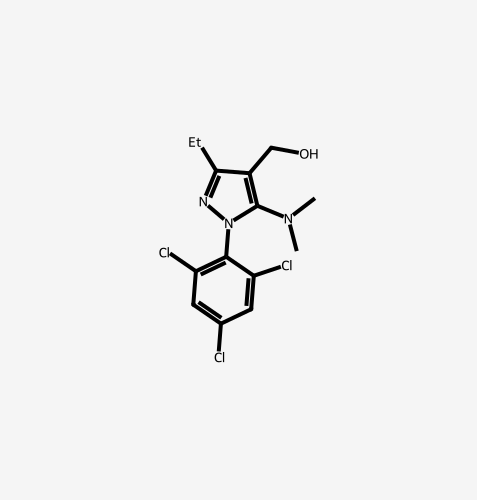 CCc1nn(-c2c(Cl)cc(Cl)cc2Cl)c(N(C)C)c1CO